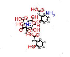 N.O=C(O)C[N+](CC(=O)O)(CC(=O)O)C1(C(=O)O)CC1.O=C(O)Cc1ccccc1O.O=C(O)Cc1ccccc1O